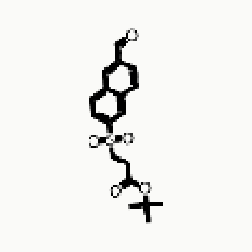 CC(C)(C)OC(=O)CCS(=O)(=O)c1ccc2cc(C=O)ccc2c1